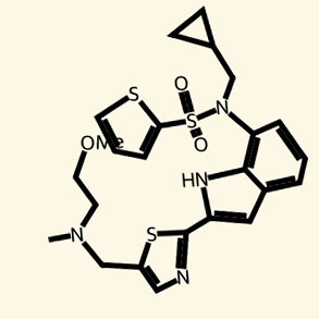 COCCN(C)Cc1cnc(-c2cc3cccc(N(CC4CC4)S(=O)(=O)c4cccs4)c3[nH]2)s1